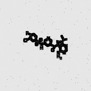 CC(C)n1cc(C(=O)c2cncc(NS(=O)(=O)c3ccc(F)c(Cl)c3)c2)c2c(N)ncnc21